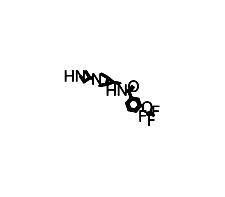 O=C(NCC1C2CN(C3CNC3)CC12)c1cccc(OC(F)(F)F)c1